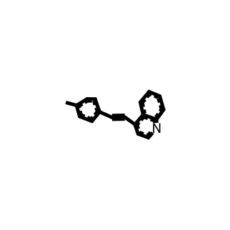 Cc1ccc(C#Cc2ccnc3ccccc23)cc1